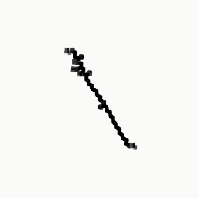 CCCCCCCCCCCCCCCC(=O)OCCCCCCCCCC(=O)NCC(O)CNC(=O)CCC